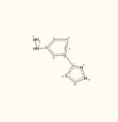 NNc1cccc(-c2nncs2)c1